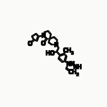 C=CN(N=N)c1ccc(C(O)CN2CCC3(CCCN(C4=CC(=O)CC4)C3=O)CC2)c(C)c1